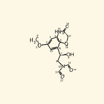 COc1cc2c(c([C@@H](O)CN(C=O)C=O)c1)OCC(=O)N2